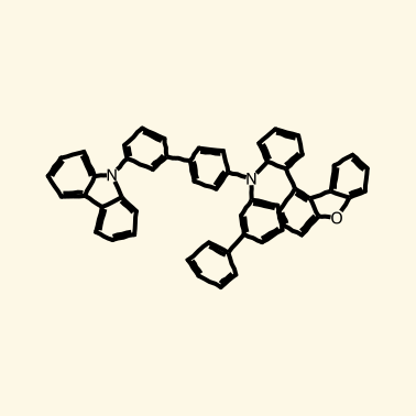 c1ccc(-c2cccc(N(c3ccc(-c4cccc(-n5c6ccccc6c6ccccc65)c4)cc3)c3ccccc3-c3cccc4oc5ccccc5c34)c2)cc1